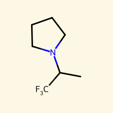 CC(N1CCCC1)C(F)(F)F